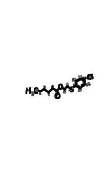 CCCCCC(=O)OCCSc1ccc(Cl)cc1